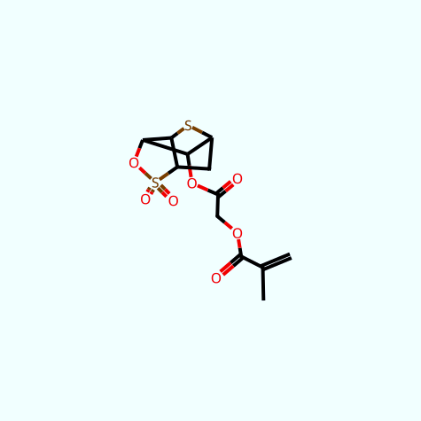 C=C(C)C(=O)OCC(=O)OC1C2CC3C(S2)C1OS3(=O)=O